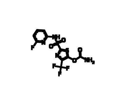 NC(=O)Oc1sc(S(=O)(=O)Nc2cccc(F)n2)nc1C(F)(F)F